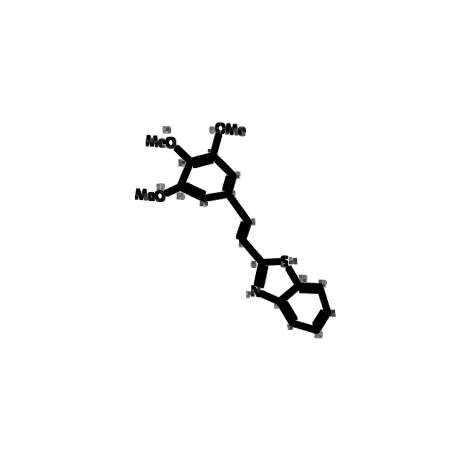 COc1cc(C=Cc2nc3ccccc3s2)cc(OC)c1OC